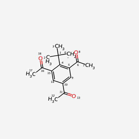 [CH2]C(C)(C)c1c(C(C)=O)cc(C(C)=O)cc1C(C)=O